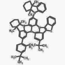 Cc1cc(C(C)(C)C)ccc1-c1cc2c3c(c1)C1(C)CCCCC1(C)N3c1cc(N3c4ccccc4C4(C)CCCCC34C)cc3c1B2c1cc(C(C)(C)C)cc2c4sc5ccccc5c4n-3c12